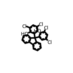 Oc1c(Cl)cc(Cl)cc1C1(c2cc(Cl)cc(Cl)c2O)c2ccccc2-c2ccccc21